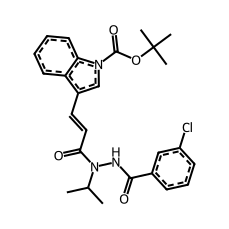 CC(C)N(NC(=O)c1cccc(Cl)c1)C(=O)C=Cc1cn(C(=O)OC(C)(C)C)c2ccccc12